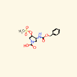 CS(=O)(=O)OC1CN(C(=O)O)CC1NC(=O)OCc1ccccc1